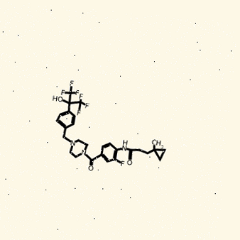 CC1(CCC(=O)Nc2ccc(C(=O)N3CCN(Cc4ccc(C(O)(C(F)(F)F)C(F)(F)F)cc4)CC3)cc2F)CC1